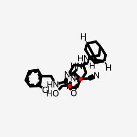 N#Cc1cnc(NCc2ccccc2Cl)nc1NC[C@]12CC3C[C@H](C1)[C@@H](NC1CCN(C(=O)CO)CC1)[C@@H](C3)C2